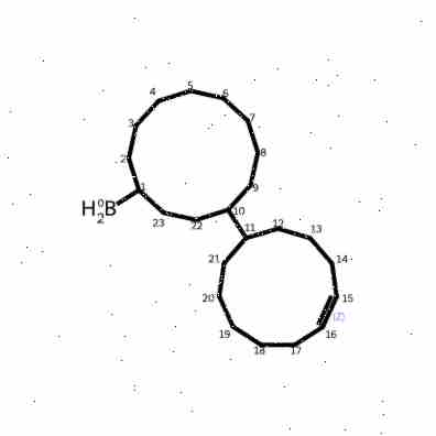 BC1CCCCCCCCC(C2CCC/C=C\CCCCC2)CC1